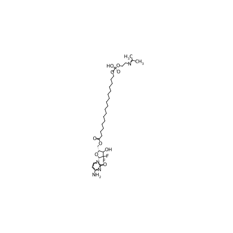 CC(C)=NCCOP(=O)(O)OCCCCCCCCCCCCCCCCCC(=O)OC[C@H]1O[C@@H](n2ccc(N)nc2=O)C(F)(F)C1O